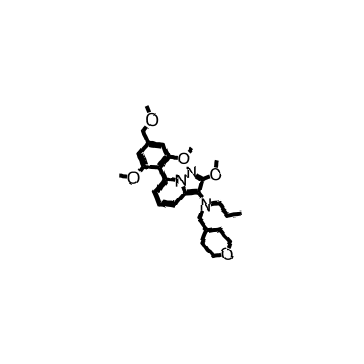 CCCN(CC1CCOCC1)c1c(OC)nn2c(-c3c(OC)cc(COC)cc3OC)cccc12